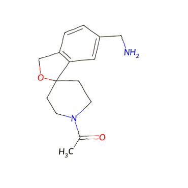 CC(=O)N1CCC2(CC1)OCc1ccc(CN)cc12